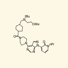 CCCn1cccc(-n2ncc3c(N4CCN(C(=O)C5CCC(CN(CCOC)C(C)(C)C)CC5)CC4)ncnc32)c1=O